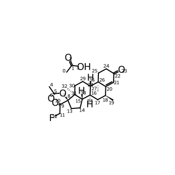 CC(=O)O.CC(=O)O[C@]1(C(=O)CF)CC[C@H]2[C@@H]3C[C@H](C)C4=CC(=O)CC[C@]4(C)[C@H]3CC[C@@]21C